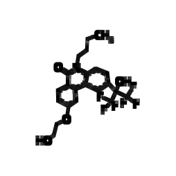 CCCCn1c(=O)c2ccc(OCCO)cc2c2cc(C(O)(C(F)(F)F)C(F)(F)F)ccc21